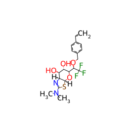 C=Cc1ccc(CO[C@H](C2O[C@@H]3SC(N(C)C)=N[C@@H]3[C@@H](O)[C@@H]2O)C(F)(F)F)cc1